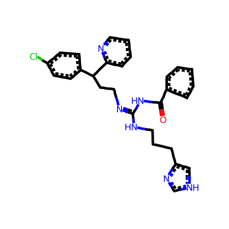 O=C(NC(=NCCC(c1ccc(Cl)cc1)c1ccccn1)NCCCc1c[nH]cn1)c1ccccc1